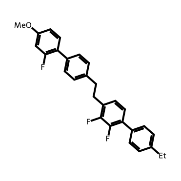 CCc1ccc(-c2ccc(CCc3ccc(-c4ccc(OC)cc4F)cc3)c(F)c2F)cc1